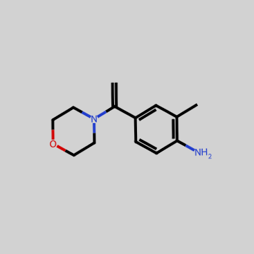 C=C(c1ccc(N)c(C)c1)N1CCOCC1